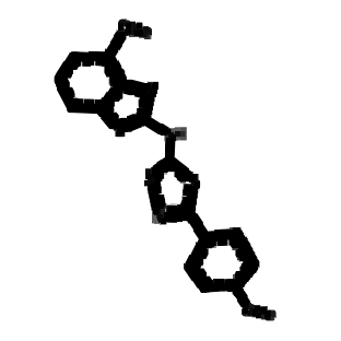 COc1ccc(-c2nnc(Nc3nc4c(OC)cccc4s3)s2)cc1